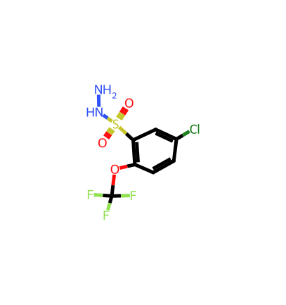 NNS(=O)(=O)c1cc(Cl)ccc1OC(F)(F)F